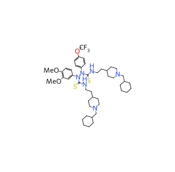 COc1ccc(N(C(=S)NCCC2CCN(CC3CCCCC3)CC2)N(C(=S)NCCC2CCN(CC3CCCCC3)CC2)c2ccc(OC(F)(F)F)cc2)cc1OC